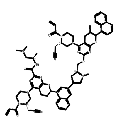 C=CC(=O)N1CCN(c2nc(C(=O)N[C@H](C)CN(C)C)nc3c2CCC(c2cc(C4C[C@@H](COc5nc6c(c(N7CCN(C(=O)C=C)[C@@H](CC#N)C7)n5)CC(C)C(c5cccc7ccccc57)O6)N(C)C4)cc4ccccc24)O3)C[C@@H]1CC#N